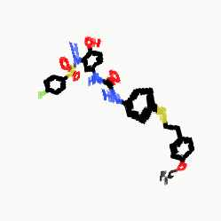 O=C(Nc1ccc(SCCc2ccc(OC(F)(F)F)cc2)cc1)Nc1ccc(O)c(NS(=O)(=O)c2ccc(F)cc2)c1